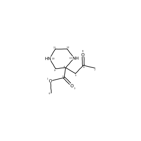 COC(=O)C1(CC(C)=O)CNCCN1